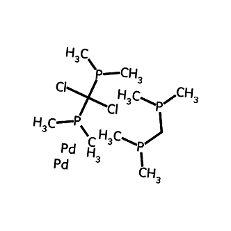 CP(C)C(Cl)(Cl)P(C)C.CP(C)CP(C)C.[Pd].[Pd]